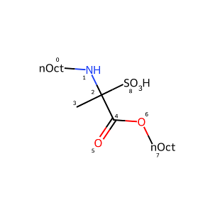 CCCCCCCCNC(C)(C(=O)OCCCCCCCC)S(=O)(=O)O